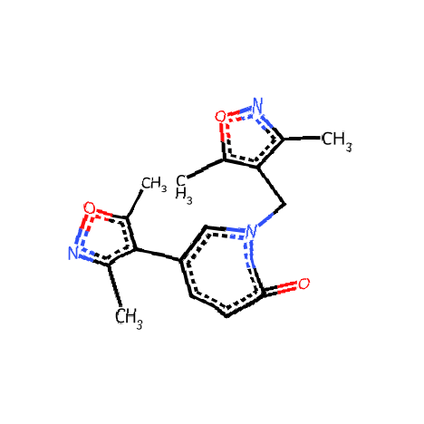 Cc1noc(C)c1Cn1cc(-c2c(C)noc2C)ccc1=O